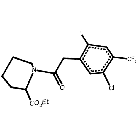 CCOC(=O)C1CCCCN1C(=O)Cc1cc(Cl)c(C(F)(F)F)cc1F